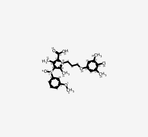 COc1cccc([S+]([O-])c2c(C)c(C(=O)O)n(CCCOc3cc(C)c(Cl)c(C)c3)c2C)c1